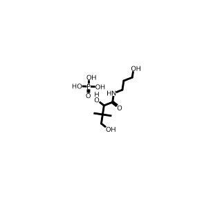 CC(C)(CO)C(O)C(=O)NCCCO.O=P(O)(O)O